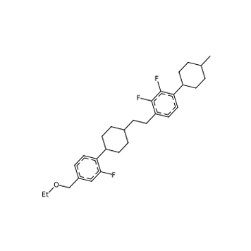 CCOCc1ccc(C2CCC(CCc3ccc(C4CCC(C)CC4)c(F)c3F)CC2)c(F)c1